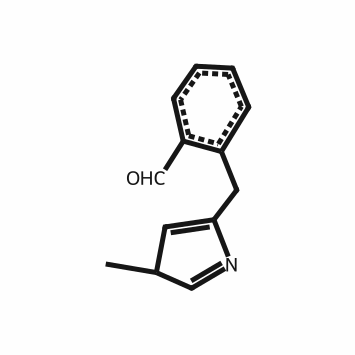 CC1C=NC(Cc2ccccc2C=O)=C1